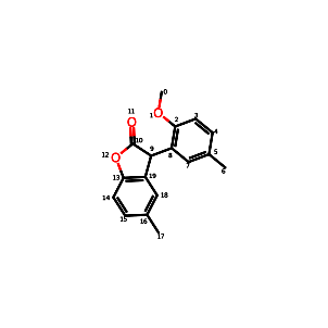 COc1ccc(C)cc1C1C(=O)Oc2ccc(C)cc21